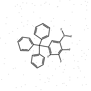 FB(F)c1cc(C(c2ccccc2)(c2ccccc2)c2ccccc2)c(F)c(F)c1F